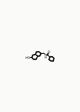 O=C(NCc1ccc2cc(O)ccc2c1)c1ccccc1